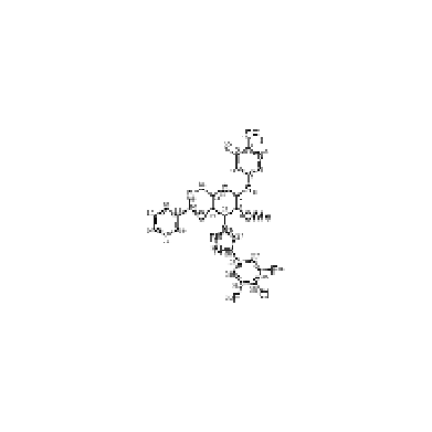 COC1C(Sc2cnc(C(F)(F)F)c(C)c2)OC2COC(c3ccccc3)OC2C1n1cc(-c2cc(F)c(Cl)c(F)c2)nn1